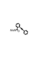 CNC(=O)c1ccccc1C#Cc1ccccc1